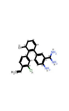 C=Cc1ccc(C2=C(c3ccc(N)c(C(N)N)c3)C=CCC2CC)cc1Cl